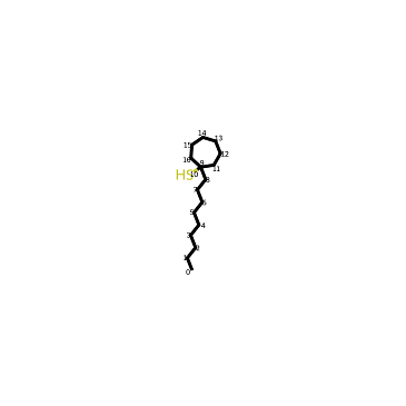 CCCCCCCCCC1(S)CCCCCC1